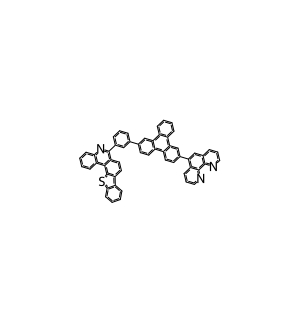 c1cc(-c2ccc3c4ccc(-c5cc6cccnc6c6ncccc56)cc4c4ccccc4c3c2)cc(-c2nc3ccccc3c3c2ccc2c4ccccc4sc23)c1